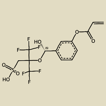 C=CC(=O)Oc1cccc([C@@H](O)OC(CS(=O)(=O)O)(C(F)(F)F)C(F)(F)F)c1